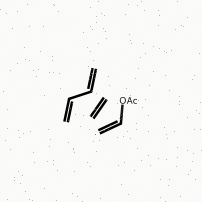 C=C.C=CC=C.C=COC(C)=O